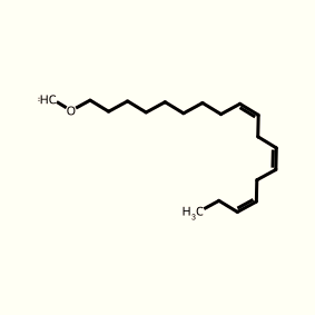 [CH]OCCCCCCCC/C=C\C/C=C\C/C=C\CC